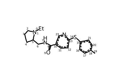 CCN1CCCC1CNC(=O)c1ccc(Sc2ccc(C)cc2)nc1